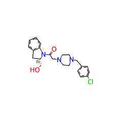 O=C(CN1CCN(Cc2ccc(Cl)cc2)CC1)N1c2ccccc2C[C@H]1CO